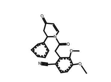 COc1ccc(C#N)c(CC(=O)N2C=CC(=O)CC2c2ccccc2)c1OC